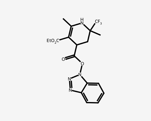 CCOC(=O)C1=C(C)NC(C)(C(F)(F)F)CC1C(=O)On1nnc2ccccc21